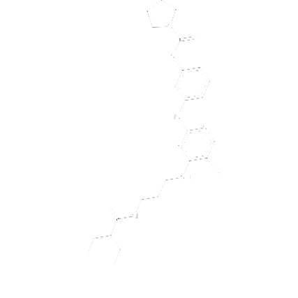 CCC(CC)C(=O)NCCCNc1nc(Nc2cccc(NC(=O)N3CCCC3)c2)ncc1Br